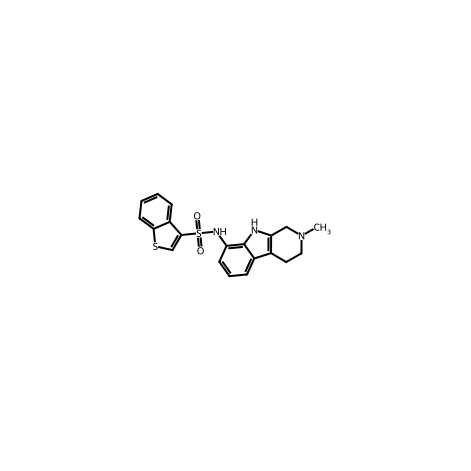 CN1CCc2c([nH]c3c(NS(=O)(=O)c4csc5ccccc45)cccc23)C1